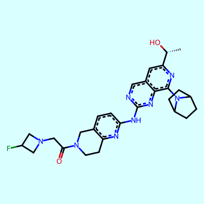 C[C@@H](O)c1cc2cnc(Nc3ccc4c(n3)CCN(C(=O)CN3CC(F)C3)C4)nc2c(N2C3CCC2CC3)n1